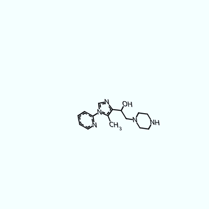 Cc1c(C(O)CN2CCNCC2)ncn1-c1ccccn1